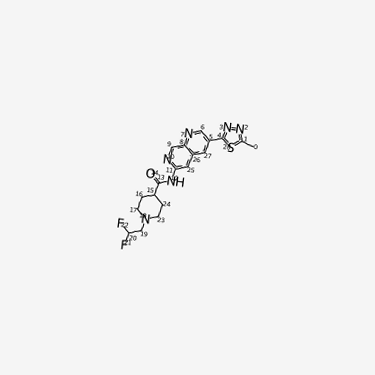 Cc1nnc(-c2cnc3cnc(NC(=O)C4CCN(CC(F)F)CC4)cc3c2)s1